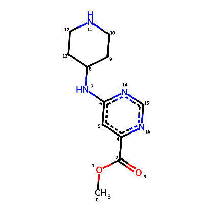 COC(=O)c1cc(NC2CCNCC2)ncn1